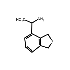 NC(C(=O)O)c1cccc2c1CSC2